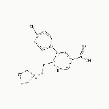 O=C(O)c1cnc(CC[C@@H]2CCOC2)c(-c2ccc(Cl)cc2)c1